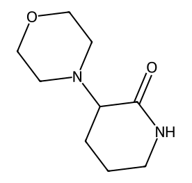 O=C1NCCCC1N1CCOCC1